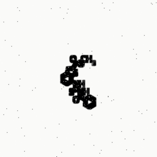 COC(=O)c1cc2cccc(NC(=S)NC(=O)c3ccccc3)c2s1